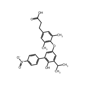 Cc1cc(CCC(=O)O)cc(C)c1Oc1cc(-c2ccc([N+](=O)[O-])cc2)c(O)c(C(C)C)c1